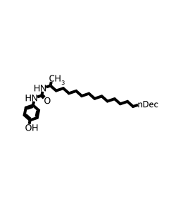 CCCCCCCCCCCCCCCCCCCCCCCC(C)NC(=O)Nc1ccc(O)cc1